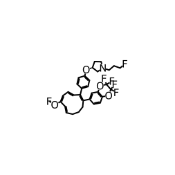 FCCCN1CC[C@H](Oc2ccc(C3=C(\c4ccc5c(c4)OC(F)(F)C(F)(F)O5)CCC/C=C/C(OF)=C\C=C\3)cc2)C1